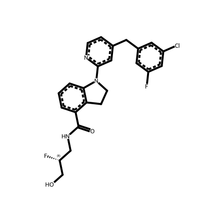 O=C(NC[C@@H](F)CO)c1cccc2c1CCN2c1cc(Cc2cc(F)cc(Cl)c2)ccn1